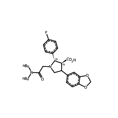 CCCCN(CCCC)C(=O)CN1CC(c2ccc3c(c2)OCO3)[C@H](C(=O)O)[C@H]1c1ccc(F)cc1